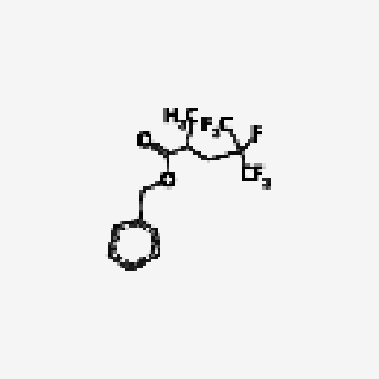 CC(CC(F)(C(F)(F)F)C(F)(F)F)C(=O)OCc1ccccc1